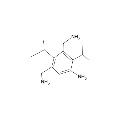 CC(C)c1c(N)cc(CN)c(C(C)C)c1CN